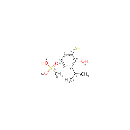 CC(C)c1cccc(S)c1O.CS(=O)(=O)O